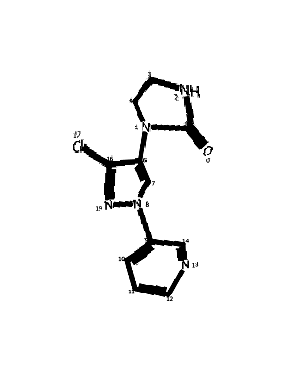 O=C1NCCN1c1cn(-c2cccnc2)nc1Cl